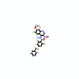 COc1cc2ncc([N+](=O)[O-])c(NCc3c(F)cc(SCc4ccccc4)cc3F)c2cc1F